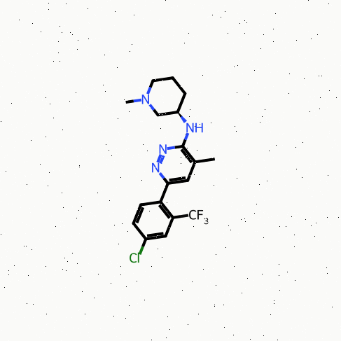 Cc1cc(-c2ccc(Cl)cc2C(F)(F)F)nnc1N[C@@H]1CCCN(C)C1